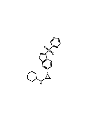 O=S(=O)(c1ccccc1)N1CCc2cc([C@@H]3C[C@H]3NC3CCOCC3)ccc21